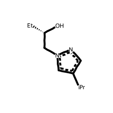 CC[C@H](O)Cn1cc(C(C)C)cn1